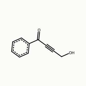 O=C(C#CCO)c1ccccc1